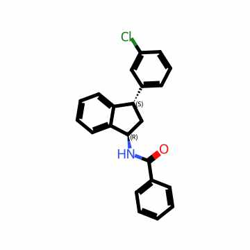 O=C(N[C@@H]1C[C@@H](c2cccc(Cl)c2)c2ccccc21)c1ccccc1